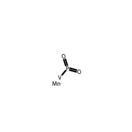 O=[P](=O)[V].[Mn]